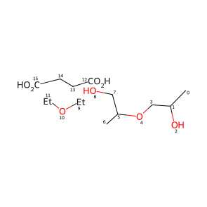 CC(O)COC(C)CO.CCOCC.O=C(O)CCC(=O)O